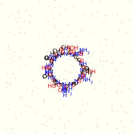 CCCC[C@H]1C(=O)N(C)[C@@H](CCOC)C(=O)N[C@@H](CCC(=O)O)C(=O)N[C@H](C(=O)NCC(N)=O)CSCC(=O)N[C@@H](Cc2ccc(O)cc2)C(=O)N(C)[C@@H](C)C(=O)N[C@@H](CC(N)=O)C(=O)N2CCC[C@H]2C(=O)N[C@@H](Cc2c[nH]cn2)C(=O)N[C@@H](CCC(N)=O)C(=O)N2C[C@H](O)C[C@H]2C(=O)N[C@@H](Cc2c[nH]c3ccccc23)C(=O)N[C@@H](CO)C(=O)N[C@@H](Cc2c[nH]c3ccccc23)C(=O)N1C